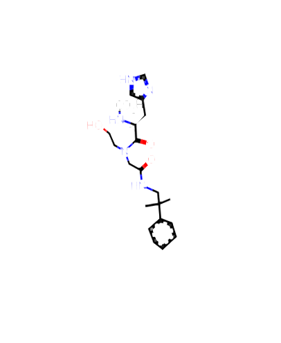 CC(C)(CNC(=O)CN(CCO)C(=O)[C@H](Cc1c[nH]cn1)NC(=O)O)c1ccccc1